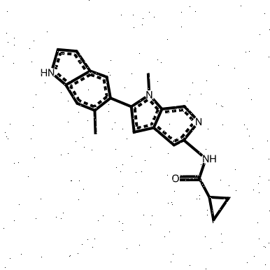 Cc1cc2[nH]ccc2cc1-c1cc2cc(NC(=O)C3CC3)ncc2n1C